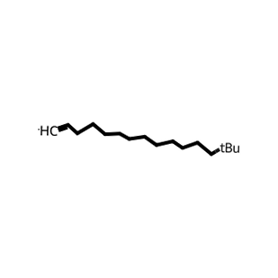 [CH]=CCCCCCCCCCCCC(C)(C)C